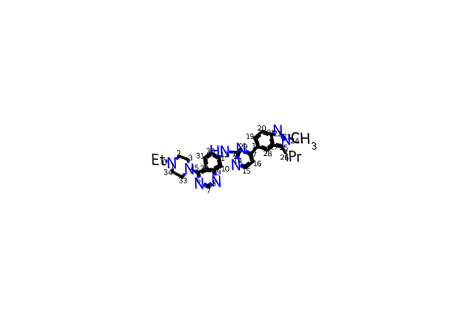 CCN1CCN(c2ncnc3cc(Nc4nccc(-c5ccc6nn(C)c(C(C)C)c6c5)n4)ccc23)CC1